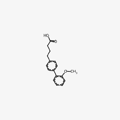 COc1ccccc1-c1ccc(CCCC(=O)O)cc1